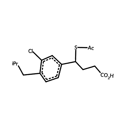 CC(=O)SC(CCC(=O)O)c1ccc(CC(C)C)c(Cl)c1